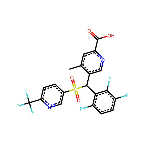 Cc1cc(C(=O)O)ncc1C(c1c(F)ccc(F)c1F)S(=O)(=O)c1ccc(C(F)(F)F)nc1